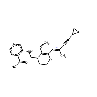 C=CC1=C(/C=C(\C)C#CC2CC2)OCCC1CNc1cnccc1C(=O)O